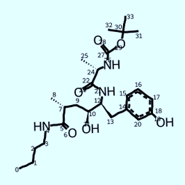 CCCCNC(=O)[C@H](C)C[C@H](O)[C@H](Cc1cccc(O)c1)NC(=O)[C@H](C)NC(=O)OC(C)(C)C